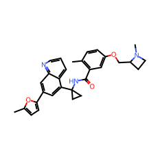 Cc1ccc(-c2cc(C3(NC(=O)c4cc(OCC5CCN5C)ccc4C)CC3)c3cccnc3c2)o1